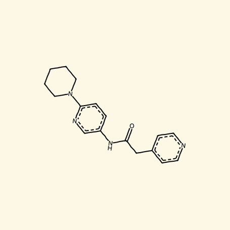 O=C(Cc1ccncc1)Nc1ccc(N2CCCCC2)nc1